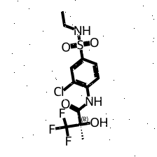 CCNS(=O)(=O)c1ccc(NC(=O)[C@@](C)(O)C(F)(F)F)c(Cl)c1